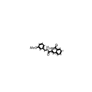 COc1cccc(CNC(=O)c2cc3ccccc3c(=O)[nH]2)c1